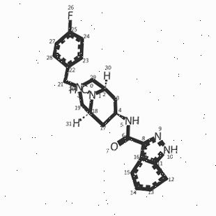 CN1[C@@H]2C[C@@H](NC(=O)c3n[nH]c4ccccc34)C[C@H]1CN(Cc1ccc(F)cc1)C2